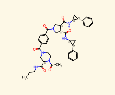 CCCNC(=O)[C@@H]1CN(C(=O)c2ccc(C(=O)N3C[C@@H](C(=O)N[C@H]4C[C@@H]4c4ccccc4)[C@H](C(=O)N[C@H]4C[C@@H]4c4ccccc4)C3)cc2)CCN1C(C)=O